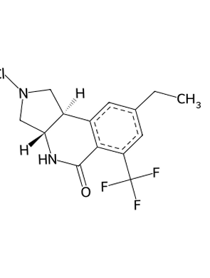 CCc1cc2c(c(C(F)(F)F)c1)C(=O)N[C@@H]1CN(Cl)C[C@@H]21